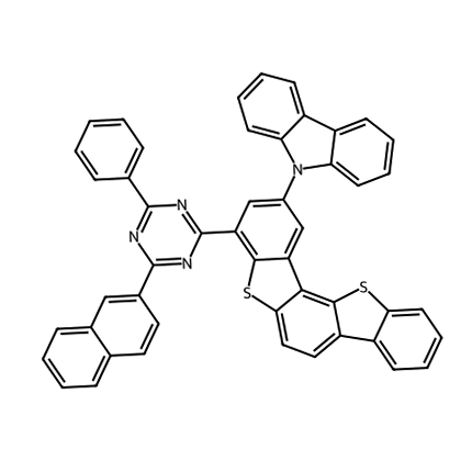 c1ccc(-c2nc(-c3ccc4ccccc4c3)nc(-c3cc(-n4c5ccccc5c5ccccc54)cc4c3sc3ccc5c6ccccc6sc5c34)n2)cc1